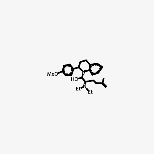 C=C(C)CCC(C(O)N1c2ccccc2CCC1c1ccc(OC)cc1)N(CC)CC